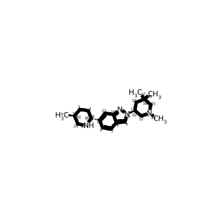 C[C@H]1CC[C@H](c2ccc3cn([C@@H]4CN(C)CC(C)(C)C4)nc3c2)NC1